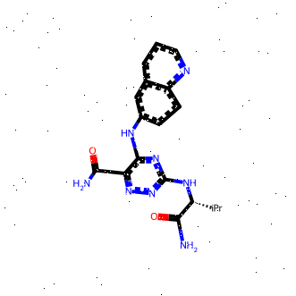 CC(C)[C@@H](Nc1nnc(C(N)=O)c(Nc2ccc3ncccc3c2)n1)C(N)=O